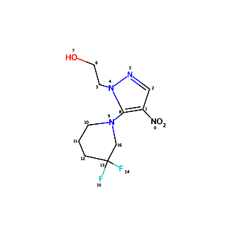 O=[N+]([O-])c1cnn(CCO)c1N1CCCC(F)(F)C1